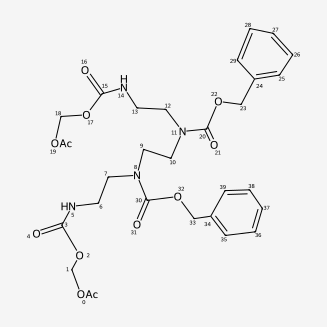 CC(=O)OCOC(=O)NCCN(CCN(CCNC(=O)OCOC(C)=O)C(=O)OCc1ccccc1)C(=O)OCc1ccccc1